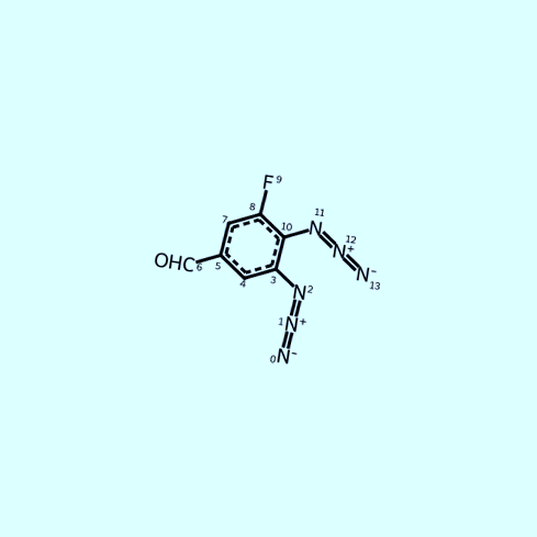 [N-]=[N+]=Nc1cc(C=O)cc(F)c1N=[N+]=[N-]